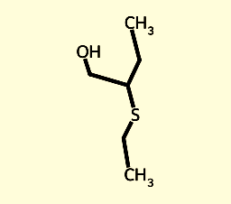 CCSC(CC)CO